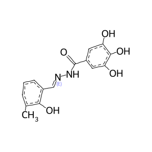 Cc1cccc(/C=N/NC(=O)c2cc(O)c(O)c(O)c2)c1O